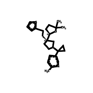 Cc1ccc(C2(N3CC[C@@](CCc4cccs4)([C@H]4CCC(C)(C)O4)C3)CC2)cn1